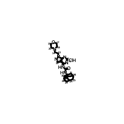 Cl.O=C(Nc1ncnc2c1cnn2CCN1CCOCC1)NC12CC3CC(CC(C3)C1)C2